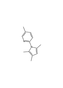 Cc1ccc(-n2c(C)cc(C)c2C)nc1